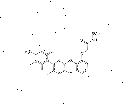 CSNC(=O)COc1ccccc1Oc1nc(-n2c(=O)cc(C(F)(F)F)n(C)c2=O)c(F)cc1Cl